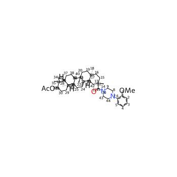 COc1ccccc1N1CCN(C(=O)[C@@]2(C)CC[C@]3(C)CC[C@]4(C)C(=CC[C@@H]5[C@@]6(C)CC[C@H](OC(C)=O)C(C)(C)[C@@H]6CC[C@]54C)[C@@H]3C2)CC1